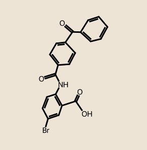 O=C(Nc1ccc(Br)cc1C(=O)O)c1ccc(C(=O)c2ccccc2)cc1